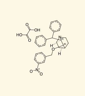 O=C(O)C(=O)O.O=[N+]([O-])c1cccc(CO[C@@H]2C3CCN(CC3)[C@@H]2C(c2ccccc2)c2ccccc2)c1